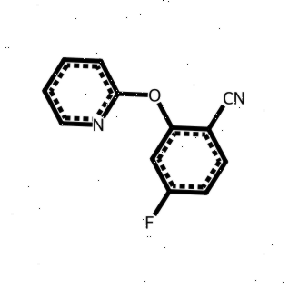 N#Cc1ccc(F)cc1Oc1ccccn1